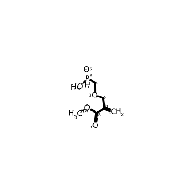 C=C(COC[PH](=O)O)C(=O)OC